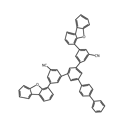 N#Cc1cc(-c2cc(-c3ccc(-c4ccccc4)cc3)cc(-c3cc(C#N)cc(-c4cccc5c4oc4ccccc45)c3)c2)cc(-c2cccc3c2oc2ccccc23)c1